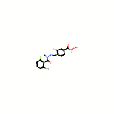 CN(/N=C/c1ccc(C(=O)NO)cc1F)C(=O)c1c(F)cccc1Cl